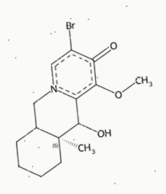 COc1c2n(cc(Br)c1=O)CC1CCCC[C@]1(C)C2O